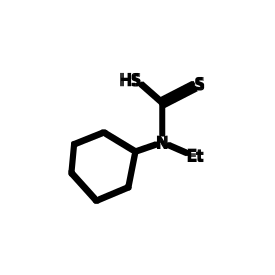 CCN(C(=S)S)C1CCCCC1